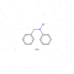 Br.CCN(Cc1ccccc1)c1ccccc1